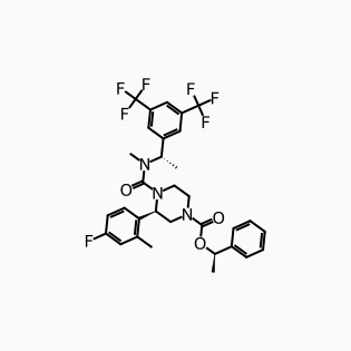 Cc1cc(F)ccc1[C@@H]1CN(C(=O)O[C@H](C)c2ccccc2)CCN1C(=O)N(C)[C@@H](C)c1cc(C(F)(F)F)cc(C(F)(F)F)c1